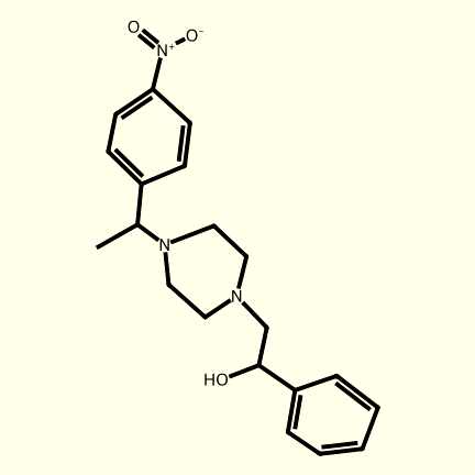 CC(c1ccc([N+](=O)[O-])cc1)N1CCN(CC(O)c2ccccc2)CC1